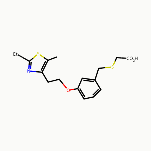 CCc1nc(CCOc2cccc(CSCC(=O)O)c2)c(C)s1